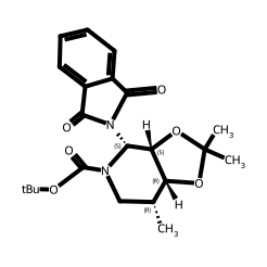 C[C@@H]1CN(C(=O)OC(C)(C)C)[C@H](N2C(=O)c3ccccc3C2=O)[C@@H]2OC(C)(C)O[C@@H]21